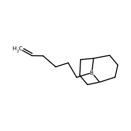 C=CCCCCB1C2CCCC1CCC2